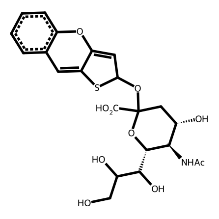 CC(=O)N[C@@H]1[C@@H](O)CC(OC2C=C3Oc4ccccc4C=C3S2)(C(=O)O)O[C@H]1C(O)C(O)CO